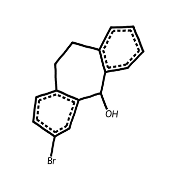 OC1c2ccccc2CCc2ccc(Br)cc21